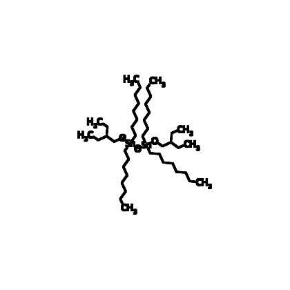 CCCCCCC[CH2][Sn]([CH2]CCCCCCC)([O]CC(CC)CC)[O][Sn]([CH2]CCCCCCC)([CH2]CCCCCCC)[O]CC(CC)CC